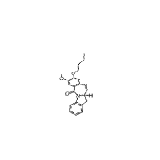 CCCCOc1cc2c(cc1OC)C(=O)N1c3ccccc3C[C@H]1C=N2